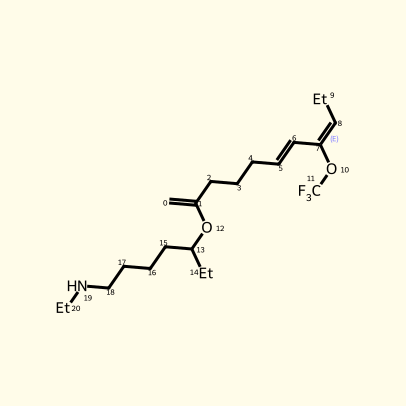 C=C(CCCC=C/C(=C\CC)OC(F)(F)F)OC(CC)CCCCNCC